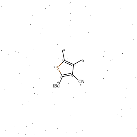 Cc1sc(C(C)(C)C)c(C#N)c1C